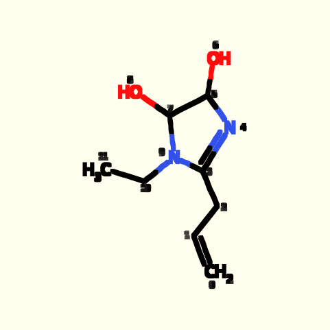 C=CCC1=NC(O)C(O)N1CC